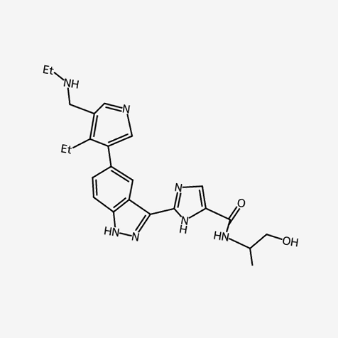 CCNCc1cncc(-c2ccc3[nH]nc(-c4ncc(C(=O)NC(C)CO)[nH]4)c3c2)c1CC